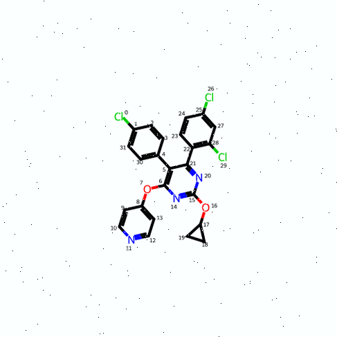 Clc1ccc(-c2c(Oc3ccncc3)nc(OC3CC3)nc2-c2ccc(Cl)cc2Cl)cc1